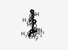 CCC(C)(C)c1ccc(OCC(=O)Nc2cccc(C(=O)CC(=O)Nc3ccccc3)c2OC)c(C(C)(C)CC)c1